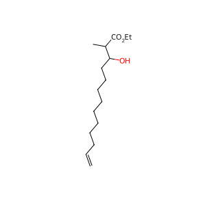 C=CCCCCCCCCC(O)C(C)C(=O)OCC